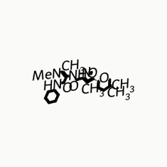 CN/C(C)=C(/NC(=O)c1noc([C@H]2CCC(C)(C)CO2)c1C)C(=O)NC1CCCCC1